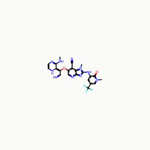 CNC1=NC=CN/C1=C(\C=N)Oc1cnc2nc(Nc3cc(C(F)(F)F)cn(C)c3=O)n(C)c2c1C#N